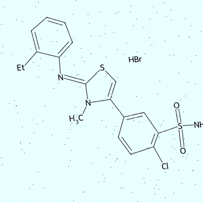 Br.CCc1ccccc1N=c1scc(-c2ccc(Cl)c(S(N)(=O)=O)c2)n1C